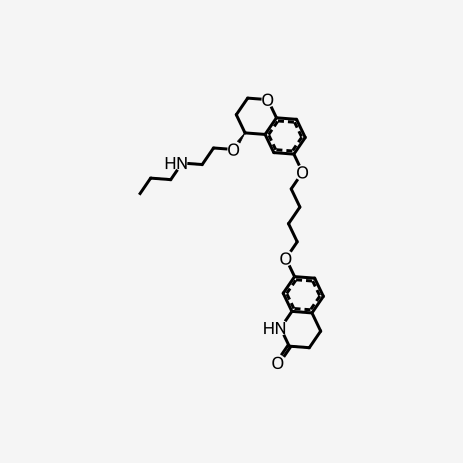 CCCNCCO[C@H]1CCOc2ccc(OCCCCOc3ccc4c(c3)NC(=O)CC4)cc21